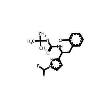 CC(C)(C)OC(=O)NC(Cc1ccccc1Cl)c1ccn(C(F)F)n1